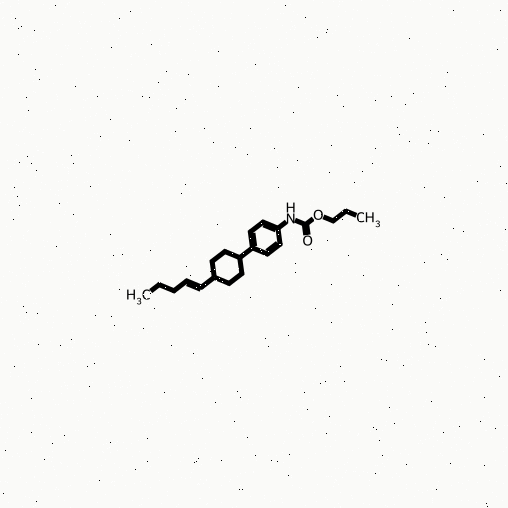 CCCC=CC1CCC(c2ccc(NC(=O)OCCC)cc2)CC1